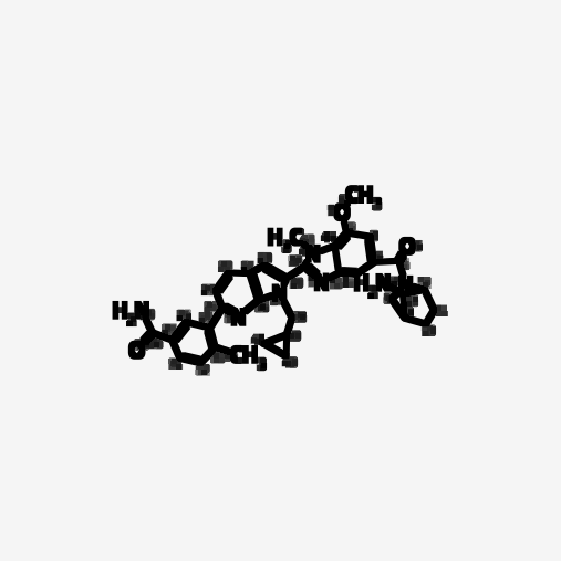 COc1cc(C(=O)N2CC3CCC2C3N)cc2nc(-c3cc4ccc(-c5cc(C(N)=O)ccc5C)nc4n3CC3CC3)n(C)c12